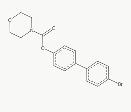 O=C(Oc1ccc(-c2ccc(Br)cc2)cc1)N1CCOCC1